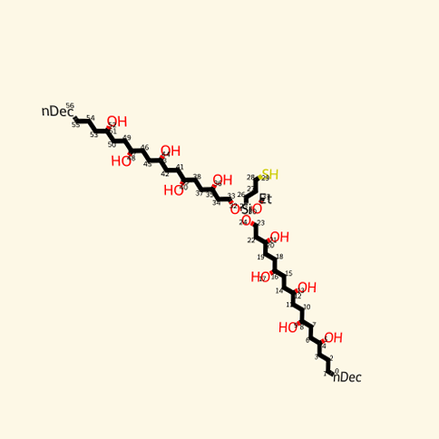 CCCCCCCCCCCCCC(O)CCC(O)CCC(O)CCC(O)CCC(O)CCO[Si](CCCS)(OCC)OCCC(O)CCC(O)CCC(O)CCC(O)CCC(O)CCCCCCCCCCCCC